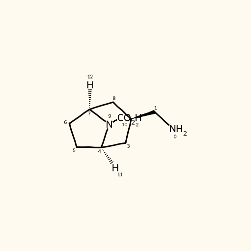 NC[C@H]1C[C@H]2CC[C@@H](C1)N2C(=O)O